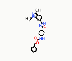 Cc1nn(C)c2cc(-c3noc([C@H]4CC[C@H](NC(=O)OCc5ccccc5)CC4)n3)ccc12